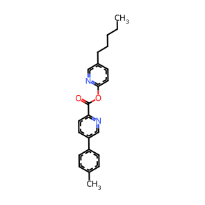 CCCCCc1ccc(OC(=O)c2ccc(-c3ccc(C)cc3)cn2)nc1